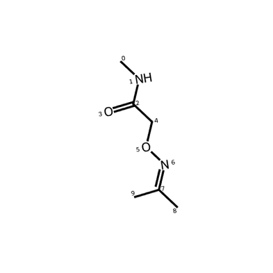 CNC(=O)CON=C(C)C